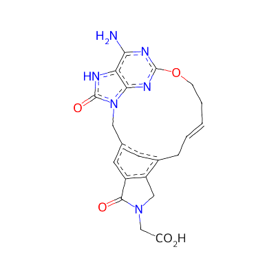 Nc1nc2nc3c1[nH]c(=O)n3Cc1cc(c3c(c1)C(=O)N(CC(=O)O)C3)C/C=C/CCO2